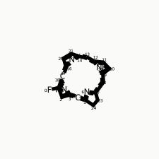 Fc1cc2cc3nc(cc4ccc(cc5nc(cc1[nH]2)C=C5)[nH]4)CC3